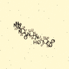 Cc1c([C@@H](O)CN2CCC3(CCCN(C(=O)c4ccc(-n5cnnn5)nc4)C3)C2)ccc2c1COC2=O